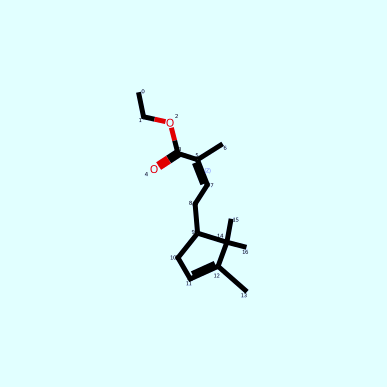 CCOC(=O)/C(C)=C\CC1CC=C(C)C1(C)C